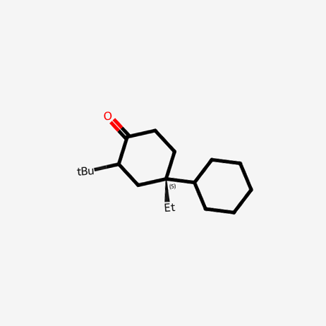 CC[C@]1(C2CCCCC2)CCC(=O)C(C(C)(C)C)C1